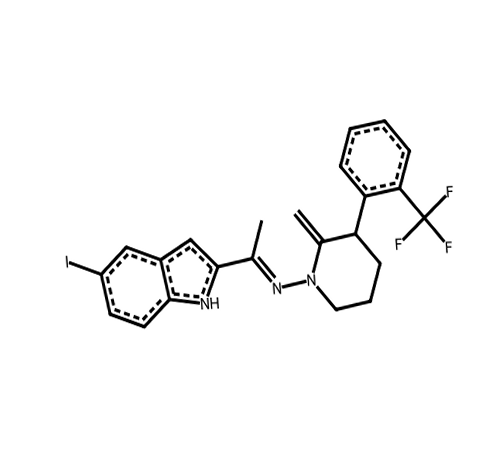 C=C1C(c2ccccc2C(F)(F)F)CCCN1/N=C(\C)c1cc2cc(I)ccc2[nH]1